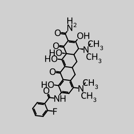 CN(C)c1cc(NC(=O)c2ccccc2F)c(O)c2c1CC1CC3[C@H](N(C)C)C(O)=C(C(N)=O)C(=O)[C@@]3(O)C(O)=C1C2=O